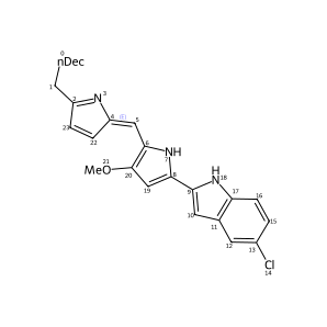 CCCCCCCCCCCC1=N/C(=C/c2[nH]c(-c3cc4cc(Cl)ccc4[nH]3)cc2OC)C=C1